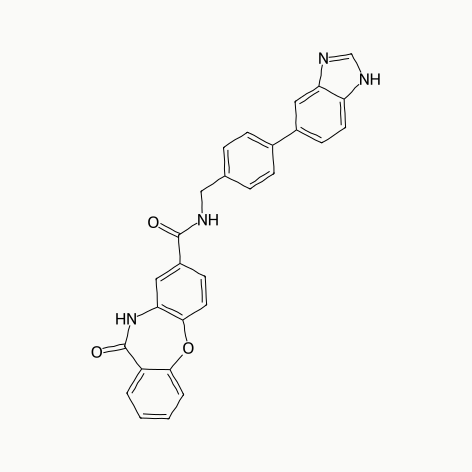 O=C(NCc1ccc(-c2ccc3[nH]cnc3c2)cc1)c1ccc2c(c1)NC(=O)c1ccccc1O2